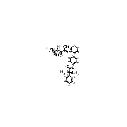 C/C(=C\c1ccccc1-c1ccc(OC(=O)C(C)(C)c2ccccc2)cc1)C(=O)NC(=N)N